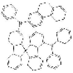 C1=CCC(N(C2=CC=CC3C2C2=C(CCC=C2)C32C3C=CC=CC3C3CCC(N(c4ccccc4)c4ccc5c(c4)CCC4=C5CCC=C4)=CC32)c2ccccc2)C=C1